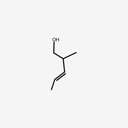 C/C=C/C(C)CO